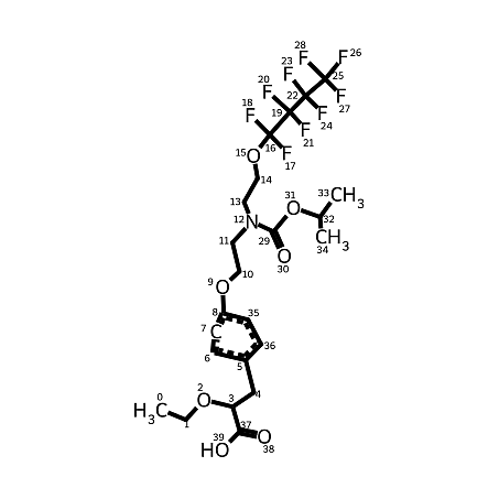 CCOC(Cc1ccc(OCCN(CCOC(F)(F)C(F)(F)C(F)(F)C(F)(F)F)C(=O)OC(C)C)cc1)C(=O)O